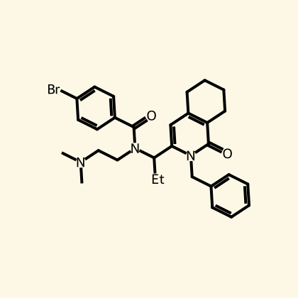 CCC(c1cc2c(c(=O)n1Cc1ccccc1)CCCC2)N(CCN(C)C)C(=O)c1ccc(Br)cc1